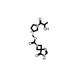 CC(O)C(=O)N1CC[C@@H](COC(=O)N2CC3(C2)N=CNC3=O)C1